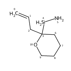 C=CCC1([SiH2]N)CCCCO1